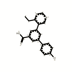 CCc1ncncc1-c1cc(C(=O)O)cc(-c2ccc(Cl)cc2)c1